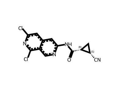 N#C[C@H]1C[C@H]1C(=O)Nc1cc2cc(Cl)nc(Cl)c2cn1